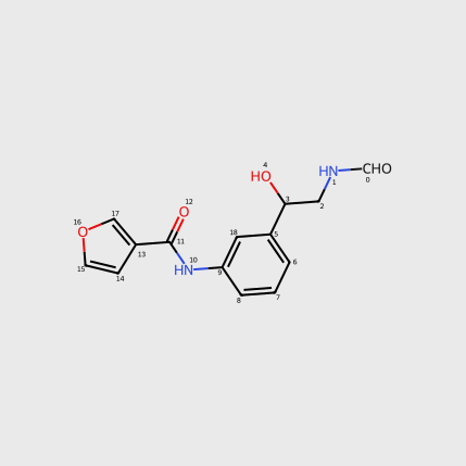 O=CNCC(O)c1cccc(NC(=O)c2ccoc2)c1